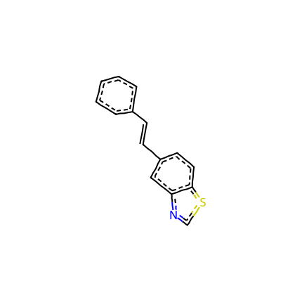 C(=Cc1ccc2scnc2c1)c1ccccc1